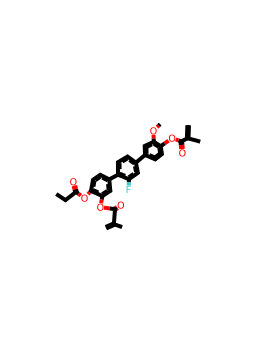 C=C(C)C(=O)Oc1ccc(-c2ccc(-c3ccc(OC(=O)CC)c(OC(=O)C(=C)C)c3)c(F)c2)cc1OC